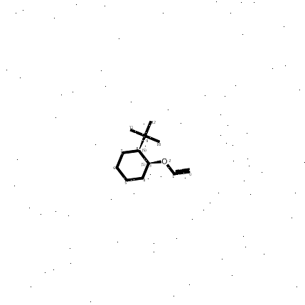 C=CO[C@H]1CCCC[C@H]1C(C)(C)C